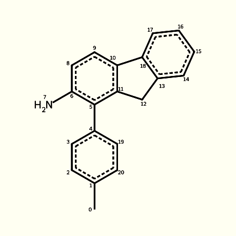 Cc1ccc(-c2c(N)ccc3c2Cc2ccccc2-3)cc1